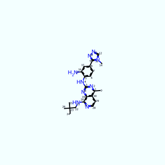 Cc1nc(Nc2ccc(-c3nncn3C)cc2N)nc2c(NCC(C)(C)C)nccc12